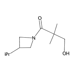 CC(C)C1CN(C(=O)C(C)(C)CO)C1